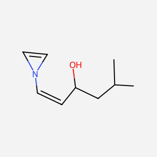 CC(C)CC(O)/C=C\N1C=C1